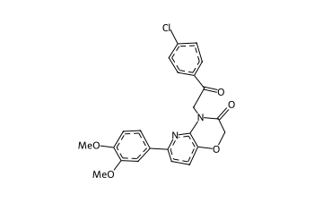 COc1ccc(-c2ccc3c(n2)N(CC(=O)c2ccc(Cl)cc2)C(=O)CO3)cc1OC